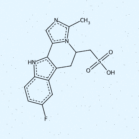 Cc1ncc2n1C(CS(=O)(=O)O)Cc1c-2[nH]c2ccc(F)cc12